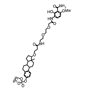 COc1ccc(NC(=O)COCCOCCNC(=O)CCO[C@@H]2CCC3C4CCc5cc(OP(=O)(OC(C)C)OC(C)C)ccc5C4CCC32C)c(O)c1C(N)=O